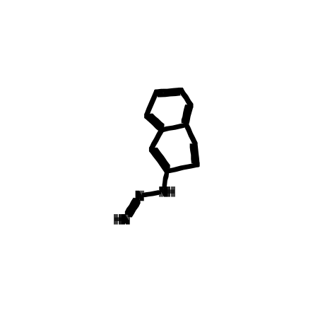 N=NNc1ccc2ccccc2c1